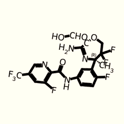 C[C@]1(c2cc(NC(=O)c3ncc(C(F)(F)F)cc3F)ccc2F)N=C(N)COCC1(F)F.O=CO